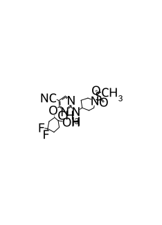 C[C@@]1(O)CCC(F)(F)C[C@@H]1Oc1nc(NC2CCN(S(C)(=O)=O)CC2)ncc1C#N